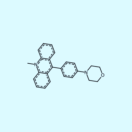 C[n+]1c2ccccc2c(-c2ccc(N3CCOCC3)cc2)c2ccccc21